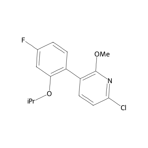 COc1nc(Cl)ccc1-c1ccc(F)cc1OC(C)C